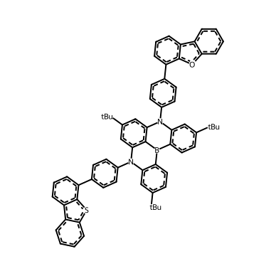 CC(C)(C)c1ccc2c(c1)N(c1ccc(-c3cccc4c3oc3ccccc34)cc1)c1cc(C(C)(C)C)cc3c1B2c1ccc(C(C)(C)C)cc1N3c1ccc(-c2cccc3c2sc2ccccc23)cc1